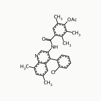 CC(=O)Oc1c(C)cc(C(=O)Nc2cnc3c(C)cc(C)cc3c2-c2ccccc2Cl)c(C)c1C